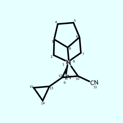 CC(C)N1CC2CCC(C1)C2N1C(C#N)C1C1CC1